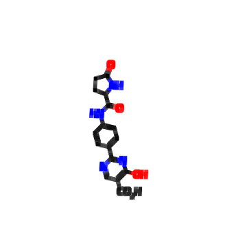 O=C1CCC(C(=O)Nc2ccc(-c3ncc(C(=O)O)c(O)n3)cc2)N1